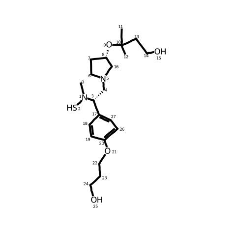 CN(S)[C@H](CN1CC[C@H](OC(C)(C)CCO)C1)c1ccc(OCCCO)cc1